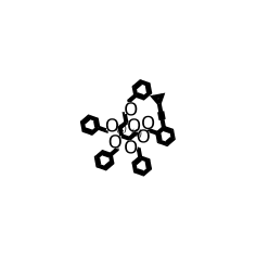 O=C(O[C@@H]1OC(COCc2ccccc2)[C@@H](OCc2ccccc2)C(OCc2ccccc2)C1OCc1ccccc1)c1ccccc1C#CC1CC1